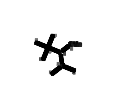 COP(N(C)C)C(C)(C)C